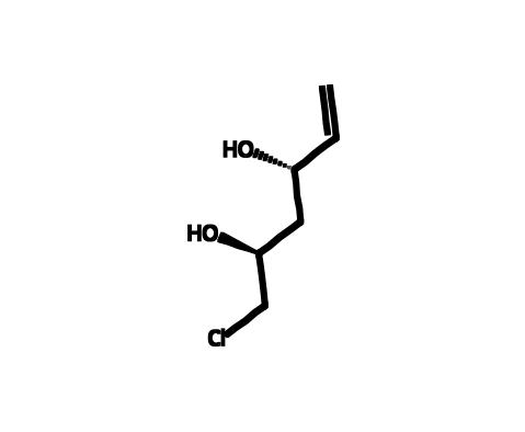 C=C[C@@H](O)C[C@H](O)CCl